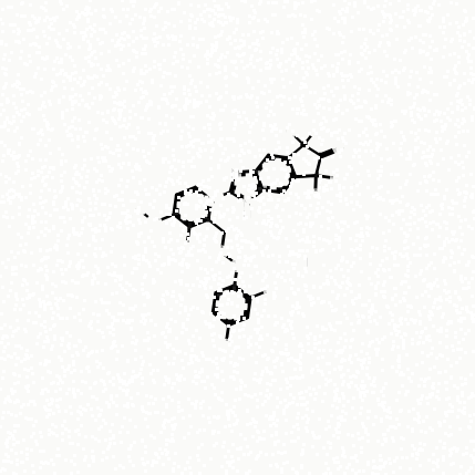 COc1cc[n+](-c2nc3cc4c(cc3[nH]2)C(C)(C)C(=O)C4(C)C)c(CSSc2ccc(Cl)cc2Cl)c1C.[Cl-]